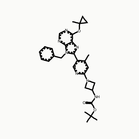 Cc1cc(N2CC(NC(=O)OC(C)(C)C)C2)ncc1-c1nc2c(OC3(C)CC3)ncnc2n1Cc1ccccc1